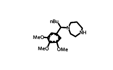 CCCCC(c1cc(OC)c(OC)c(OC)c1)N1CCCNCC1